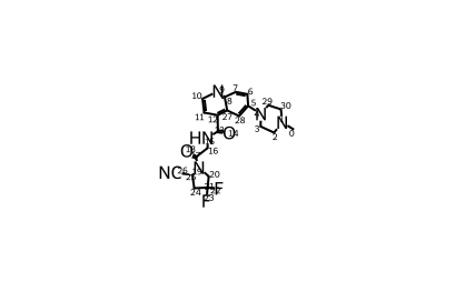 CN1CCN(c2ccc3nccc(C(=O)NCC(=O)N4CC(F)(F)C[C@H]4C#N)c3c2)CC1